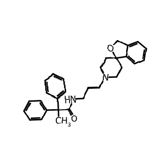 CC(C(=O)NCCCN1CCC2(CC1)OCc1ccccc12)(c1ccccc1)c1ccccc1